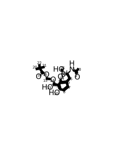 CC(=O)N[C@H]1Cc2ccc(O)c(C(O)OCOC(=O)C(C)(C)C)c2OB1O